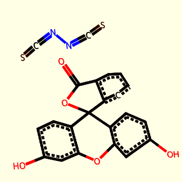 O=C1OC2(c3ccc(O)cc3Oc3cc(O)ccc32)c2ccccc21.S=C=NN=C=S